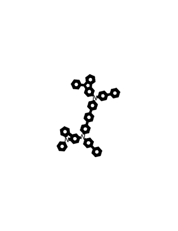 c1ccc(-c2ccc(N(c3ccc(-c4ccc(-c5ccc(N(c6ccc(-c7ccccc7)cc6)c6ccc7c(c6)c6ccccc6n7-c6ccccc6)cc5)cc4)cc3)c3ccc4c(c3)-c3ccccc3C4c3ccccc3)cc2)cc1